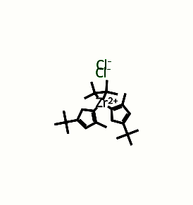 CC1=[C]([Zr+2]2([C]3=C(C)C=C(C(C)(C)C)C3)[C](C)(C)[C]2(C)C)CC(C(C)(C)C)=C1.[Cl-].[Cl-]